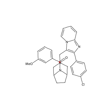 COc1cccc(C(=O)N2C3CCC2CN(Cc2c(-c4ccc(Cl)cc4)nc4ccccn24)C3)c1